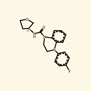 O=C(N[C@H]1CCOC1)N1CCN(c2ccc(F)cc2)c2ccccc21